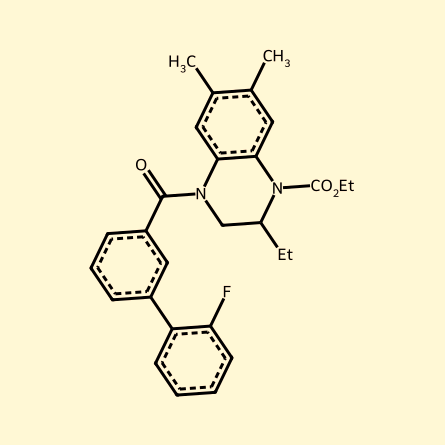 CCOC(=O)N1c2cc(C)c(C)cc2N(C(=O)c2cccc(-c3ccccc3F)c2)CC1CC